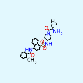 Cc1ccccc1C(=O)Nc1ccc(S(=O)(=O)NC2CCN(C(=O)C(C)N)CC2)c2ccccc12